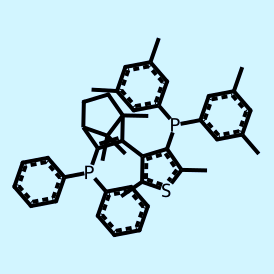 Cc1cc(C)cc(P(c2cc(C)cc(C)c2)c2c(C)sc(C)c2C2=C(P(c3ccccc3)c3ccccc3)C3CCC2(C)C3(C)C)c1